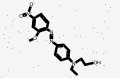 CCN(CCO)c1ccc(/N=N/c2ccc([N+](=O)[O-])cc2OC)cc1